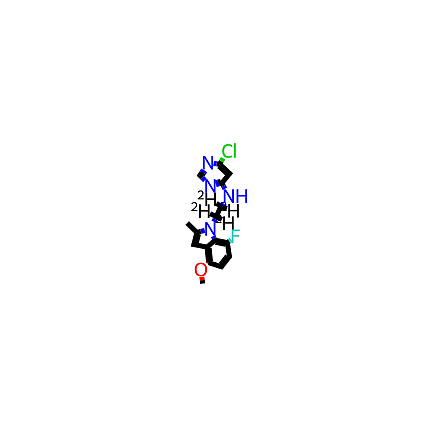 [2H]C([2H])(Nc1cc(Cl)ncn1)C([2H])([2H])n1c(C)cc2c(OC)ccc(F)c21